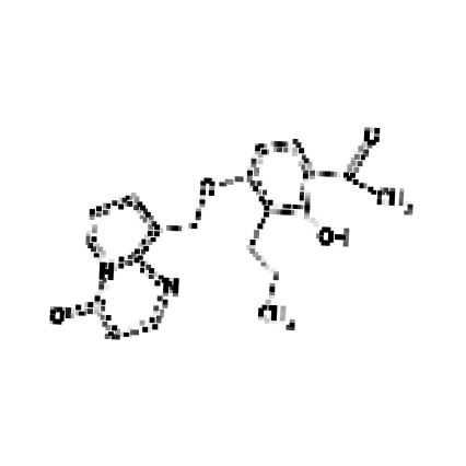 CCCc1c(OCc2cccn3c(=O)[c]cnc23)ccc(C(C)=O)c1O